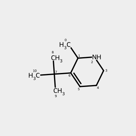 CC1NCCC=C1C(C)(C)C